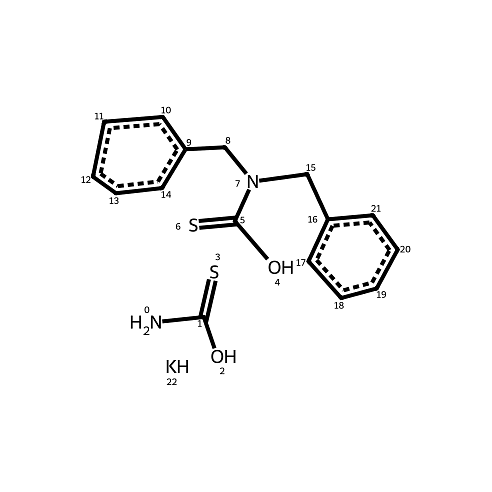 NC(O)=S.OC(=S)N(Cc1ccccc1)Cc1ccccc1.[KH]